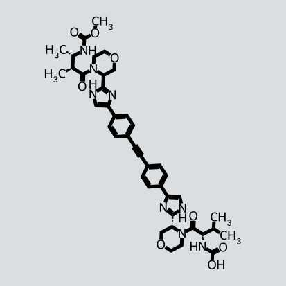 COC(=O)N[C@@H](C)[C@H](C)C(=O)N1CCOCC1c1nc(-c2ccc(C#Cc3ccc(-c4c[nH]c([C@H]5COCCN5C(=O)[C@@H](NC(=O)O)C(C)C)n4)cc3)cc2)c[nH]1